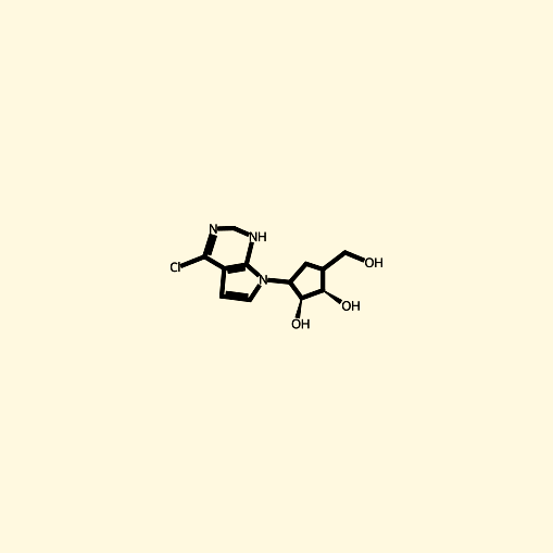 OCC1CC(n2ccc3c2NCN=C3Cl)[C@H](O)[C@@H]1O